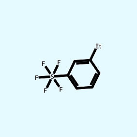 CCc1cccc(S(F)(F)(F)(F)F)c1